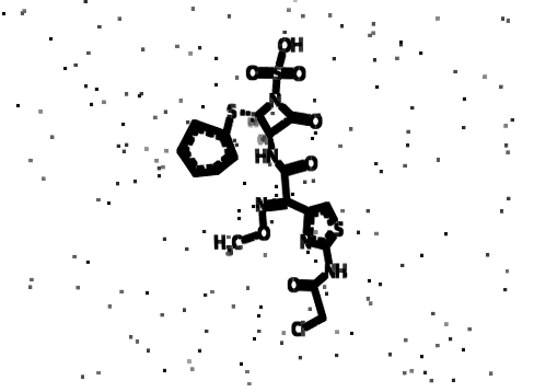 CON=C(C(=O)N[C@@H]1C(=O)N(S(=O)(=O)O)[C@H]1Sc1ccccc1)c1csc(NC(=O)CCl)n1